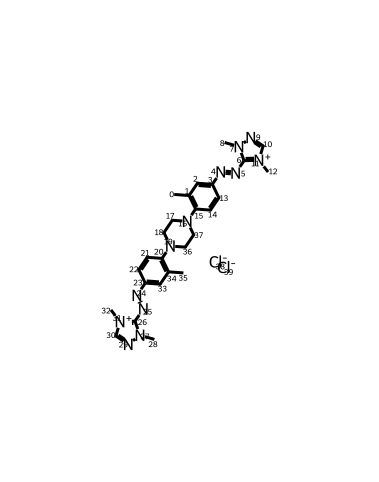 Cc1cc(/N=N/c2n(C)nc[n+]2C)ccc1N1CCN(c2ccc(/N=N/c3n(C)nc[n+]3C)cc2C)CC1.[Cl-].[Cl-]